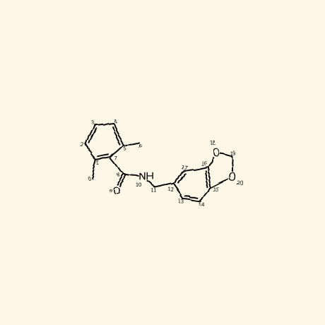 Cc1cccc(C)c1C(=O)NCc1ccc2c(c1)OCO2